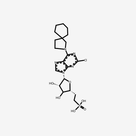 O=P(O)(O)CC[C@H]1O[C@@H](n2cnc3c(N4CCC5(CCCCC5)C4)nc(Cl)nc32)[C@@H](O)C1O